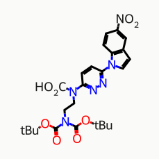 CC(C)(C)OC(=O)N(CCN(C(=O)O)c1ccc(-n2ccc3cc([N+](=O)[O-])ccc32)nn1)C(=O)OC(C)(C)C